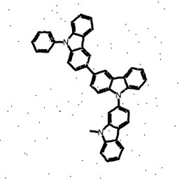 Cn1c2ccccc2c2ccc(-n3c4ccccc4c4cc(-c5ccc6c(c5)c5ccccc5n6-c5ccccc5)ccc43)cc21